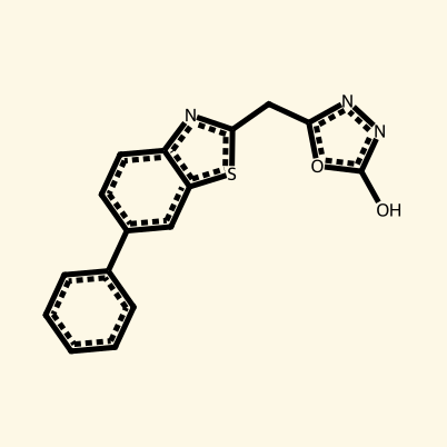 Oc1nnc(Cc2nc3ccc(-c4ccccc4)cc3s2)o1